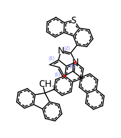 CC1(c2ccc3cccc(C4=C\C=C\C(c5ccc6ccccc6c5)=N/C(c5cccc6sc7ccccc7c56)=N\4)c3c2)c2ccccc2-c2ccccc21